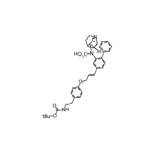 CC(C)(C)OC(=O)NCCc1ccc(OCC=Cc2ccc(-c3ccccc3)c(N(C(=O)O)[C@H]3CN4CCC3CC4)c2)cc1